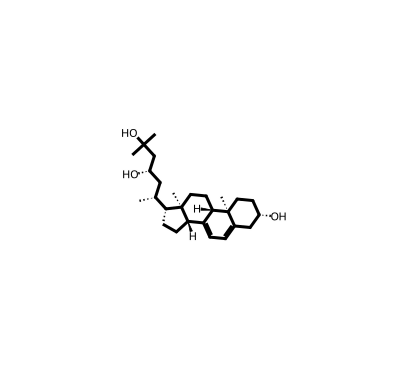 C[C@H](C[C@H](O)CC(C)(C)O)[C@H]1CC[C@H]2C3=CC=C4C[C@@H](O)CC[C@]4(C)[C@H]3CC[C@]12C